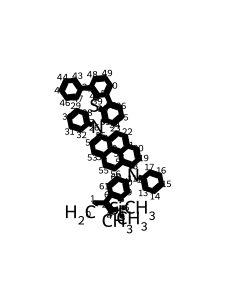 C=CC1=C(C)[Si](C)(C)c2cc(N(c3ccccc3)c3ccc4ccc5c(N(c6ccccc6)c6cccc7c6sc6c(-c8ccccc8)cccc67)ccc6ccc3c4c65)ccc21